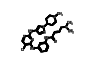 CN(C)C/C=C/C(=O)Nc1cccc(Nc2nc(Nc3cnn(C4CCN(C)CC4)c3)ncc2Cl)c1